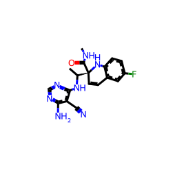 CNC(=O)[C@@]1(C(C)Nc2ncnc(N)c2C#N)C=Cc2cc(F)ccc2N1